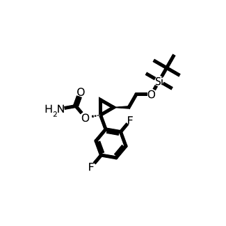 CC(C)(C)[Si](C)(C)OCC[C@@H]1C[C@]1(OC(N)=O)c1cc(F)ccc1F